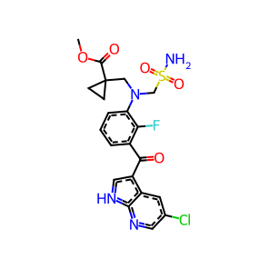 COC(=O)C1(CN(CS(N)(=O)=O)c2cccc(C(=O)c3c[nH]c4ncc(Cl)cc34)c2F)CC1